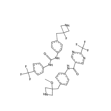 COC1(Cc2ccc(NC(=O)c3cnc(C(F)(F)F)nc3)cc2)CNC1.O=C(Nc1ccc(CC2(F)CNC2)cc1)Nc1ccc(C(F)(F)F)cc1